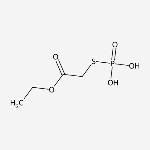 CCOC(=O)CSP(=O)(O)O